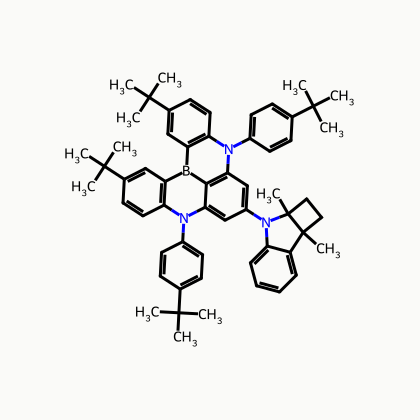 CC(C)(C)c1ccc(N2c3ccc(C(C)(C)C)cc3B3c4cc(C(C)(C)C)ccc4N(c4ccc(C(C)(C)C)cc4)c4cc(N5c6ccccc6C6(C)CCC56C)cc2c43)cc1